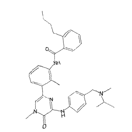 CCCCc1ccccc1C(=O)Nc1cccc(-c2cn(C)c(=O)c(Nc3ccc(CN(C)C(C)C)cc3)n2)c1C